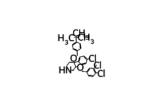 CC(C)(C)c1ccc(COC2(c3ccc(Cl)cc3)CCNCC2OCc2ccc(Cl)c(Cl)c2)cc1